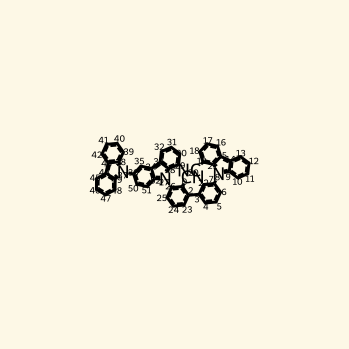 N#Cc1c(-c2cccc(-n3c4ccccc4c4cccc(C#N)c43)c2)cccc1-n1c2ccccc2c2cc(-n3c4ccccc4c4ccccc43)ccc21